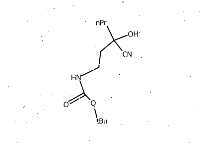 CCCC(O)(C#N)CCNC(=O)OC(C)(C)C